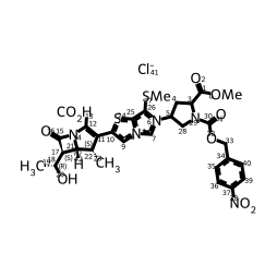 COC(=O)C1CC(n2c[n+]3cc(C4=C(C(=O)O)N5C(=O)[C@H]([C@@H](C)O)[C@H]5[C@H]4C)sc3c2SC)CN1C(=O)OCc1ccc([N+](=O)[O-])cc1.[Cl-]